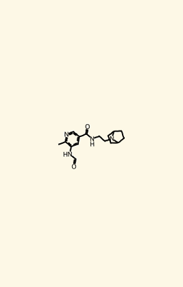 Cc1ncc(C(=O)NCCN2C3CCC2CC3)cc1NC=O